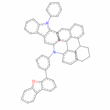 c1ccc(-n2c3ccccc3c3cc(N(c4cccc(-c5cccc6c5oc5ccccc56)c4)c4ccccc4-c4cccc5cccc(C6CCCCC6)c45)ccc32)cc1